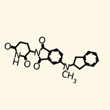 CN(c1ccc2c(c1)C(=O)N(C1CCC(=O)NC1=O)C2=O)C1Cc2ccccc2C1